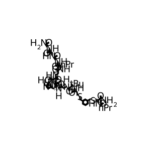 CCCC(=O)N[C@@H](CSCc1cccc(CSCCC(=O)NC(C(=O)NCC(=O)N[C@@H](Cc2cnc[nH]2)C(=O)N[C@H](C(=O)NCC(=O)N[C@@H](CCC)C(=O)NCC(=O)NCC(=O)NCC(N)=O)[C@@H](C)O)C(C)(C)C)c1)C(N)=O